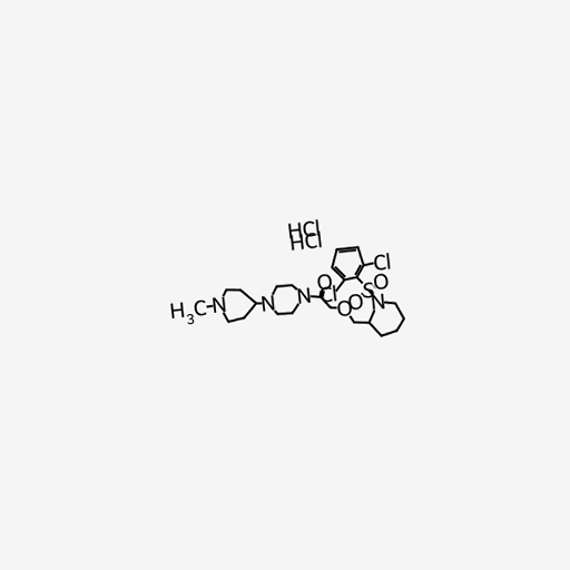 CN1CCC(N2CCN(C(=O)COCC3CCCCN3S(=O)(=O)c3c(Cl)cccc3Cl)CC2)CC1.Cl.Cl